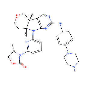 C[C@H]1COC(=O)N1c1cccc(N2c3nc(Nc4ccc(N5CCN(C)CC5)cc4)ncc3[C@@]3(C)COCC[C@@H]23)n1